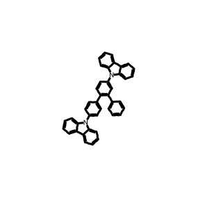 c1ccc(-c2cc(-n3c4ccccc4c4ccccc43)ccc2-c2ccc(-n3c4ccccc4c4ccccc43)cc2)cc1